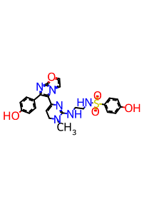 CN1CC=C(c2c(-c3ccc(O)cc3)nc3occn23)N=C1NCCNS(=O)(=O)c1ccc(O)cc1